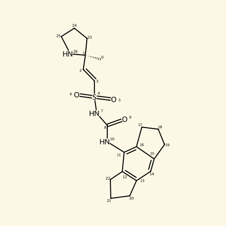 C[C@@]1(/C=C/S(=O)(=O)NC(=O)Nc2c3c(cc4c2CCC4)CCC3)CCCN1